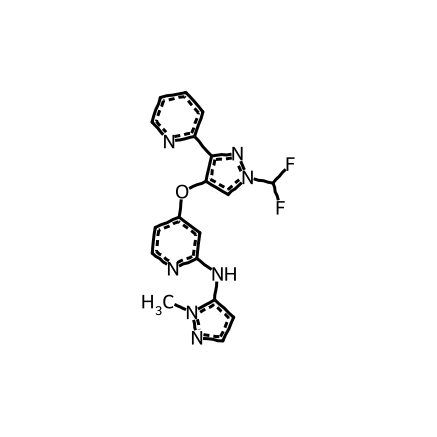 Cn1nccc1Nc1cc(Oc2cn(C(F)F)nc2-c2ccccn2)ccn1